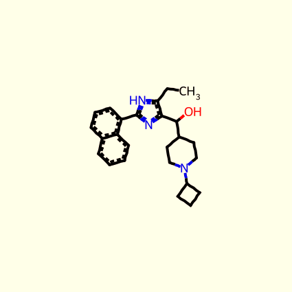 CCc1[nH]c(-c2cccc3ccccc23)nc1C(O)C1CCN(C2CCC2)CC1